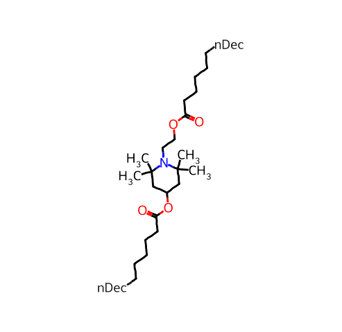 CCCCCCCCCCCCCCCC(=O)OCCN1C(C)(C)CC(OC(=O)CCCCCCCCCCCCCCC)CC1(C)C